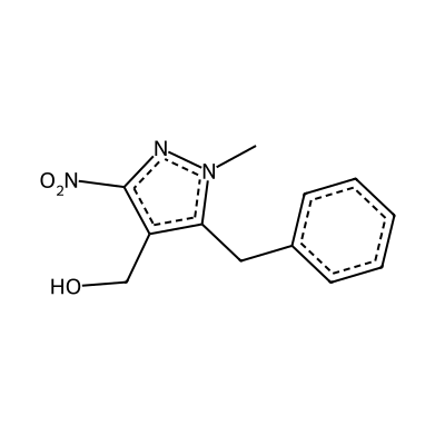 Cn1nc([N+](=O)[O-])c(CO)c1Cc1ccccc1